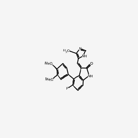 COc1ccc(-c2c(F)ccc3c2/C(=C/c2[nH]cnc2C)C(=O)N3)cc1OC